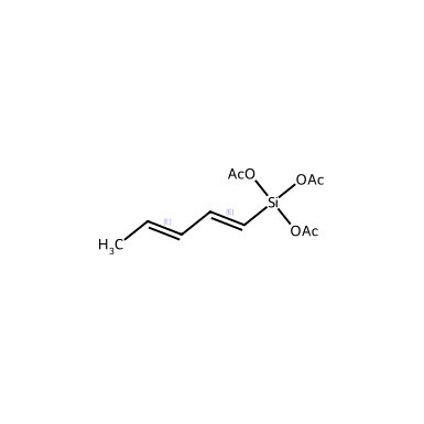 C/C=C/C=C/[Si](OC(C)=O)(OC(C)=O)OC(C)=O